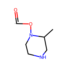 CC1CNCCN1O[C]=O